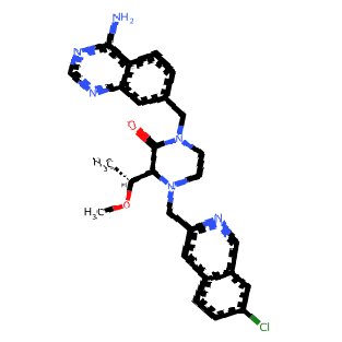 CO[C@H](C)C1C(=O)N(Cc2ccc3c(N)ncnc3c2)CCN1Cc1cc2ccc(Cl)cc2cn1